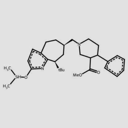 COC(=O)C1CN(C[C@@H]2CCc3ccc(O[SiH](C)C)nc3[C@H](C(C)(C)C)C2)CCC1c1ccccc1